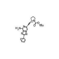 CC(C)(C)OC(=O)N1CCC[C@@H]1C#Cc1cn2nc(-c3ccco3)nc2c(N)n1